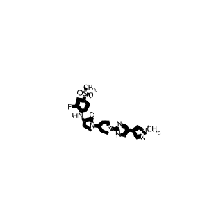 Cn1cc(-c2cnc(N3CCC(N4CCC(Nc5ccc(S(C)(=O)=O)cc5F)C4=O)CC3)nc2)cn1